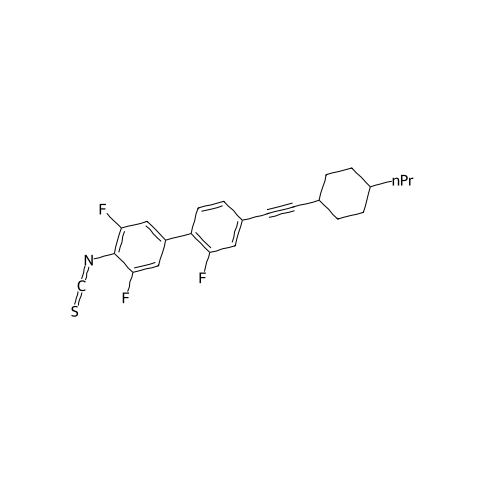 CCCC1CCC(C#Cc2ccc(-c3cc(F)c(N=C=S)c(F)c3)c(F)c2)CC1